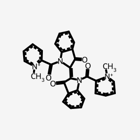 C[n+]1ccccc1C(=O)N1/C(=C2\C(=O)c3ccccc3N2C(=O)c2cccc[n+]2C)C(=O)c2ccccc21